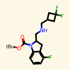 CC(C)(C)OC(=O)N1c2cccc(F)c2CC1CNCC1CC(F)(F)C1